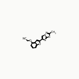 Cc1nn2cc(-c3cc4c(OCC#N)cccc4o3)nc2s1